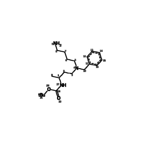 CC(CCN(CCCCN)Cc1ccccc1)NC(=O)OC(C)(C)C